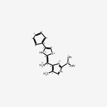 CCCN(CCC)c1ncc(C)c(/C(N)=C2/NC(c3ccccc3)=CS2)n1